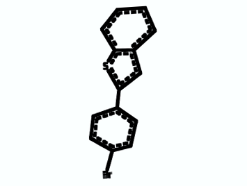 Brc1ccc(-c2cc3ccccc3s2)cc1